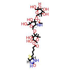 CC(=O)N[C@H]1C(C)(COC[C@]2(C)OC(C)(CO)[C@](C)(O)C(C)(O)C2(C)O)[C@H](O)C(C)(CO)O[C@]1(C)COCC1(C)C(C)(C)OC(C)(OC(=O)CCCCC2SC[C@@H]3NC(=O)N[C@H]23)C(O)C1(C)O